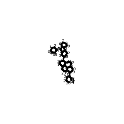 c1ccc(-n2c3ccccc3c3ccc(-c4ccc5ccc6c(-c7cccnc7)ccc7ccc4c5c76)cc32)cc1